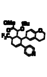 COC(=O)C(OC(C)(C)C)C1C(C2C=C3CCCOC3=CC2)C(c2ccncc2)=CCC1C(F)(F)F